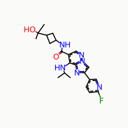 CC(C)Nc1c(C(=O)NC2CC(C(C)(C)O)C2)cnn2cc(-c3ccc(F)nc3)nc12